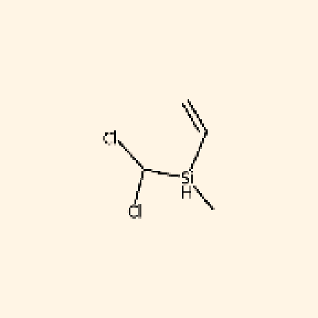 C=C[SiH](C)C(Cl)Cl